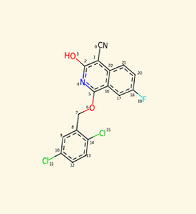 N#Cc1c(O)nc(OCc2cc(Cl)ccc2Cl)c2cc(F)ccc12